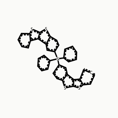 c1ccc([Si](c2ccccc2)(c2ccc3sc4sc5ccccc5c4c3c2)c2ccc3sc4sc5ccccc5c4c3c2)cc1